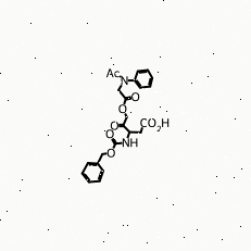 CC(=O)N(CC(=O)OCC(=O)C(CC(=O)O)NC(=O)OCc1ccccc1)c1ccccc1